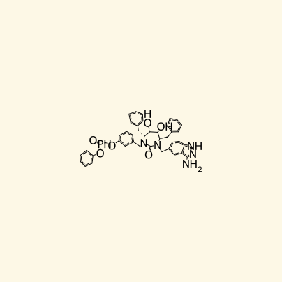 Nc1n[nH]c2ccc(CN3C(=O)N(Cc4cccc(OC[PH](=O)Oc5ccccc5)c4)[C@H](Cc4ccccc4)[C@H](O)[C@@H](O)[C@H]3Cc3ccccc3)cc12